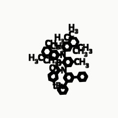 Cc1cc2c3c(c1)N(c1cc(-c4ccccc4)cc(-c4ccccc4)c1)c1c(oc4ccc(C(C)(C)C)cc14)B3c1cc3c(cc1N2c1ccc2c(c1)C(C)(C)CCC2(C)C)C(C)(C)CCC3(C)C